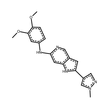 COc1ccc(Nc2cc3[nH]c(-c4cnn(C)c4)cc3cn2)cc1OC